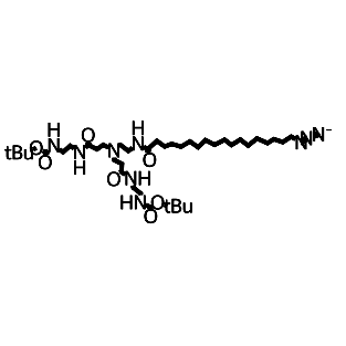 CC(C)(C)OC(=O)NCCNC(=O)CCN(CCNC(=O)CCCCCCCCCCCCCCCCCN=[N+]=[N-])CCC(=O)NCCNC(=O)OC(C)(C)C